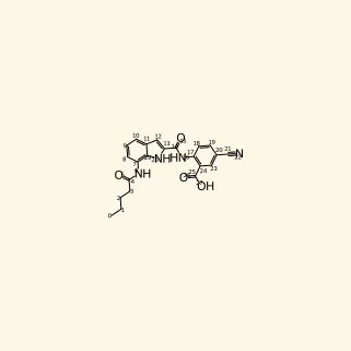 CCCCC(=O)Nc1cccc2cc(C(=O)Nc3ccc(C#N)cc3C(=O)O)[nH]c12